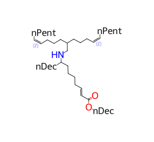 CCCCC/C=C\CCCC(CCC/C=C\CCCCC)CNC(CCCCC=CC(=O)OCCCCCCCCCC)CCCCCCCCCC